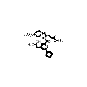 CCOC(=O)N1CCN(C(=O)[C@H](CCC(=O)OC(C)(C)C)NC(=O)c2cc(CC(C)O)cc(-c3ccccc3)n2)CC1